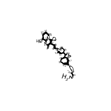 Cc1nc2n(c(=O)c1CCN1CCC(c3noc4c3=CCC=C(OCCN)C=4)CC1)CCCC2O